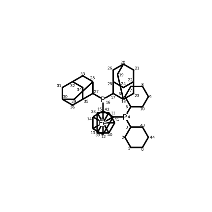 C1CCC(P(C2CCCCC2)[C]23[CH]4[CH]5[CH]6[C]2(P(C2C7CC8CC(C7)CC2C8)C2C7CC8CC(C7)CC2C8)[Fe]54632789[CH]3[CH]2[CH]7[CH]8[CH]39)CC1